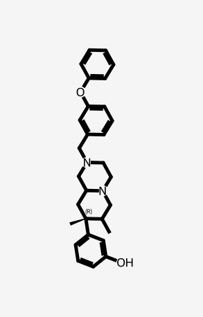 CC1CN2CCN(Cc3cccc(Oc4ccccc4)c3)CC2C[C@@]1(C)c1cccc(O)c1